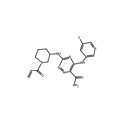 C=CC(=O)N1CCCC(Nc2nnc(C(N)=O)c(Nc3cncc(F)c3)n2)C1